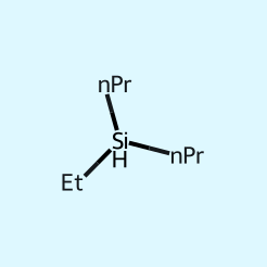 CCC[SiH](CC)CCC